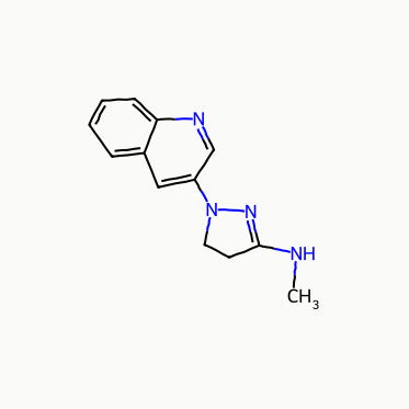 CNC1=NN(c2cnc3ccccc3c2)CC1